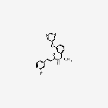 C[C@H](NC(=O)C=Cc1cccc(F)c1)c1cccc(Oc2cncnc2)c1